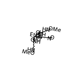 CCC(COC(=O)NCCCCCCN=C=O)(COC(=O)NCCCCCCNCOC)COC(=O)NCCCCCCNCOC